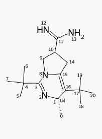 C[C@@H]1N=C(C(C)(C)C)N2CC(C(=N)N)CC2=C1C(C)(C)C